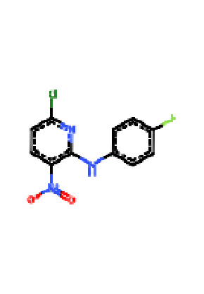 O=[N+]([O-])c1ccc(Cl)nc1Nc1ccc(F)cc1